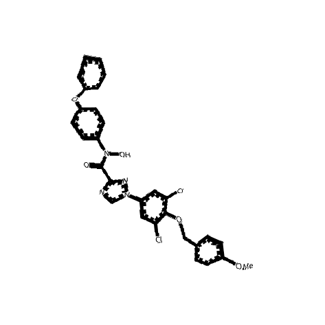 COc1ccc(COc2c(Cl)cc(-n3cnc(C(=O)N(O)c4ccc(Oc5ccccc5)cc4)n3)cc2Cl)cc1